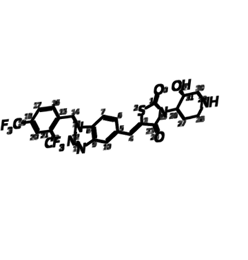 O=C1S/C(=C\c2ccc3c(c2)nnn3Cc2ccc(C(F)(F)F)cc2C(F)(F)F)C(=O)N1C1CCNC[C@@H]1O